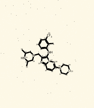 Cc1c(Nc2c(CN3CC(C)NC(C)C3)nc3ccc(N4CCOCC4)nn23)cccc1C(F)(F)F